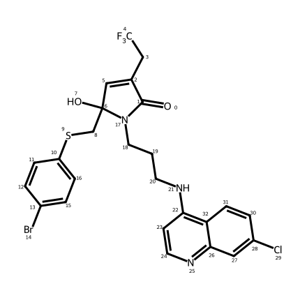 O=C1C(CC(F)(F)F)=CC(O)(CSc2ccc(Br)cc2)N1CCCNc1ccnc2cc(Cl)ccc12